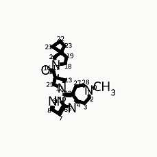 CN1CCc2nc3ccnn3c(N3CC(C(=O)N4CCC5(CCC5)C4)C3)c2CC1